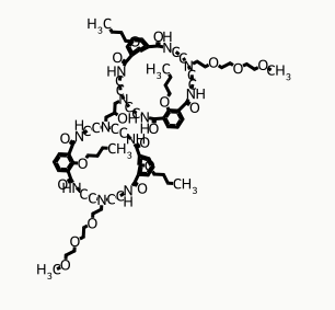 CCCCOc1c2cccc1C(=O)NCCN(CC(O)CN1CCNC(=O)c3cccc(c3OCCCC)C(=O)NCCN(CCOCCOCCOC)CCNC(=O)c3cccc(c3OCCCC)C(=O)NCC1)CCNC(=O)c1cccc(c1OCCCC)C(=O)NCCN(CCOCCOCCOC)CCNC2=O